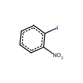 O=[N+]([O-])c1ccc[c]c1I